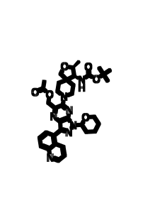 CC(=O)OCc1nc2c(-c3cccc4ncccc34)nn(C3CCCCO3)c2nc1N1CCC2(CC1)CO[C@@H](C)[C@H]2NC(=O)OC(C)(C)C